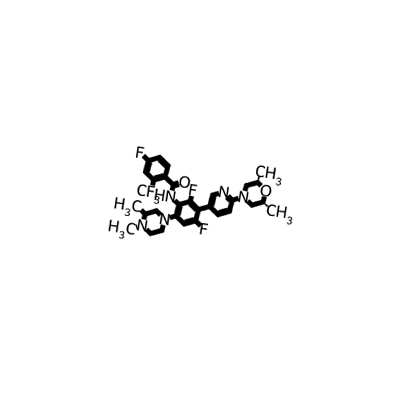 CC1CN(c2cc(F)c(-c3ccc(N4C[C@@H](C)O[C@@H](C)C4)nc3)c(F)c2NC(=O)c2ccc(F)cc2C(F)(F)F)CCN1C